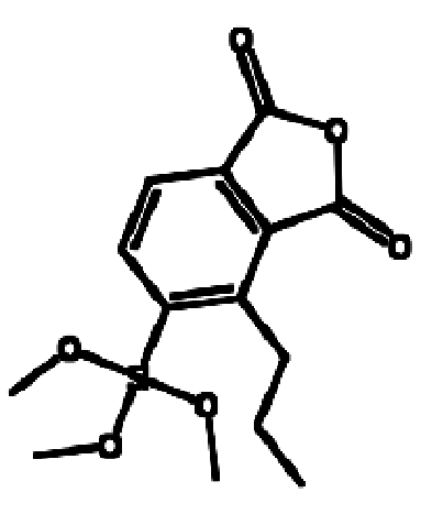 CCCc1c([Si](OC)(OC)OC)ccc2c1C(=O)OC2=O